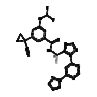 C[C@H](NC(=O)c1cc(OC(F)F)cc(C2(C#N)CC2)c1)c1ncnn1-c1cc(-n2cccn2)ncn1